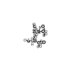 COC(=O)c1cc(-c2cc(NCc3ccc(Cl)s3)n(C(=O)c3cnco3)n2)cc(=O)n1Cc1ccccc1.COC(=O)c1cc(-c2nn(C(=O)c3ccsn3)c(NCc3ccc(Cl)s3)c2C#N)cn(Cc2ccccc2)c1=O